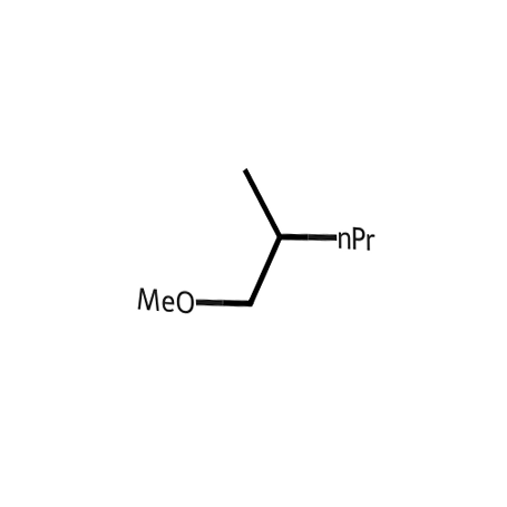 C[CH]CC(C)COC